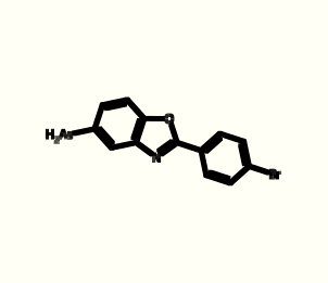 [AsH2]c1ccc2oc(-c3ccc(Br)cc3)nc2c1